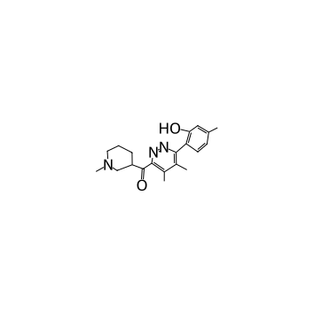 Cc1ccc(-c2nnc(C(=O)C3CCCN(C)C3)c(C)c2C)c(O)c1